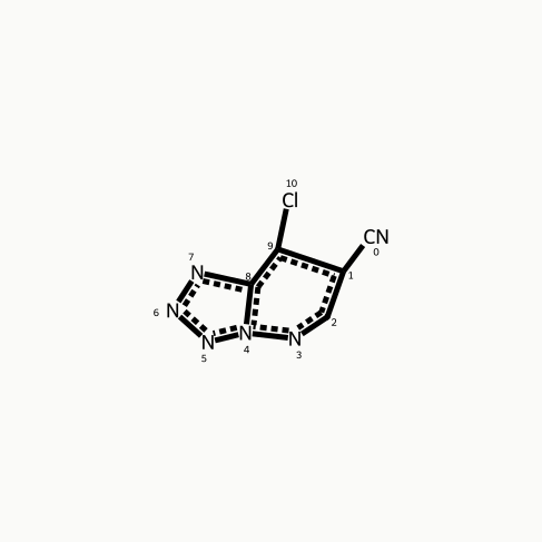 N#Cc1cnn2nnnc2c1Cl